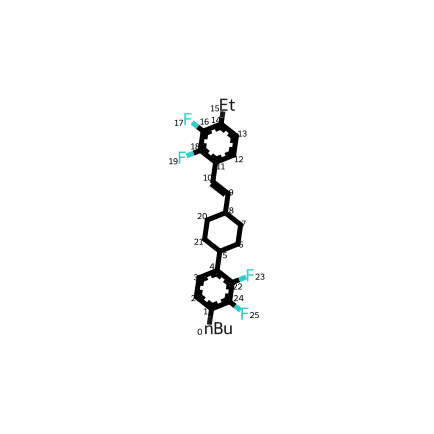 CCCCc1ccc(C2CCC(/C=C/c3ccc(CC)c(F)c3F)CC2)c(F)c1F